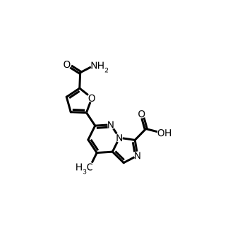 Cc1cc(-c2ccc(C(N)=O)o2)nn2c(C(=O)O)ncc12